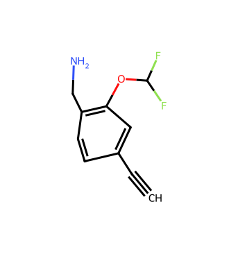 C#Cc1ccc(CN)c(OC(F)F)c1